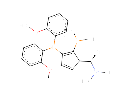 COc1ccccc1P(C1=C(P(C)C)C([C@@H](C)N(C)C)C=C1)c1ccccc1OC